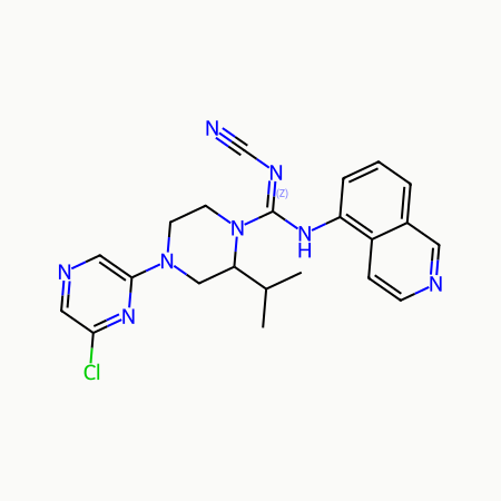 CC(C)C1CN(c2cncc(Cl)n2)CCN1/C(=N\C#N)Nc1cccc2cnccc12